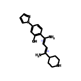 N/C(=C\C=C(/N)C1CCNCC1)c1ccc(-n2cccn2)cc1O